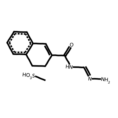 CS(=O)(=O)O.NN=CNC(=O)C1=Cc2ccccc2CC1